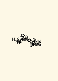 CNC(=O)C1(N2CC(CC3CC3)NC2=O)Cc2ccc(NC(=O)[C@@H](NC(=O)c3ccnn3C)C3CCCCC3)cc2C1